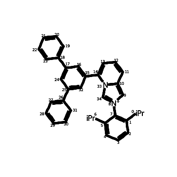 CC(C)c1cccc(C(C)C)c1-[n+]1cc2cccc(-c3cc(-c4ccccc4)cc(-c4ccccc4)c3)n2c1